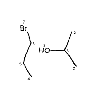 CC(C)O.CCCBr